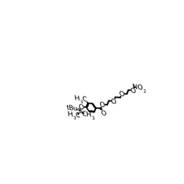 Cc1cc(C(=O)OCCOCCOCCO[N+](=O)[O-])ccc1O[Si](C)(C)C(C)(C)C